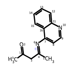 CC(=O)C/C(C)=N/c1ccnc2ccccc12